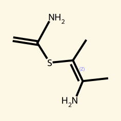 C=C(N)S/C(C)=C(/C)N